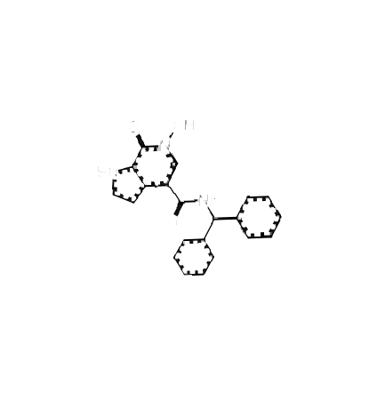 Cn1cc(C(=O)NC(c2ccccc2)c2ccccc2)c2cc[nH]c2c1=O